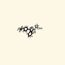 OC1COCC1Nc1nnc(-c2ccc(C(F)(F)F)cc2)c2ccccc12